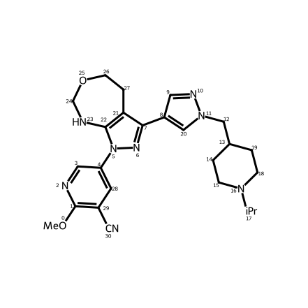 COc1ncc(-n2nc(-c3cnn(CC4CCN(C(C)C)CC4)c3)c3c2NCOCC3)cc1C#N